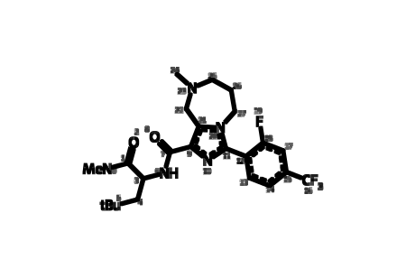 CNC(=O)C(CC(C)(C)C)NC(=O)c1nc(-c2ccc(C(F)(F)F)cc2F)n2c1CN(C)CCC2